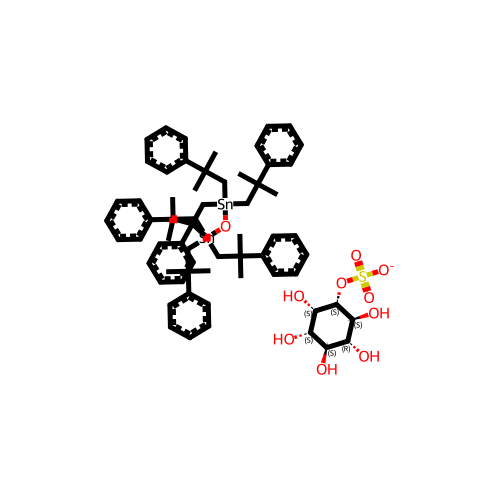 CC(C)([CH2][Sn]([CH2]C(C)(C)c1ccccc1)([CH2]C(C)(C)c1ccccc1)[O][Sn]([CH2]C(C)(C)c1ccccc1)([CH2]C(C)(C)c1ccccc1)[CH2]C(C)(C)c1ccccc1)c1ccccc1.O=S(=O)([O-])O[C@@H]1[C@@H](O)[C@H](O)[C@@H](O)[C@H](O)[C@@H]1O